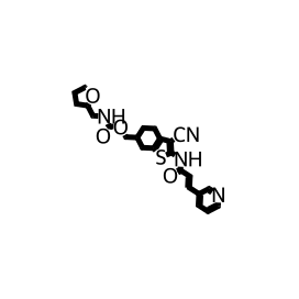 N#Cc1c(NC(=O)C=Cc2cccnc2)sc2c1CCC(COC(=O)NCC1CCCO1)C2